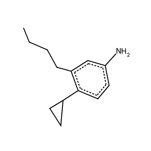 CCCCc1cc(N)ccc1C1CC1